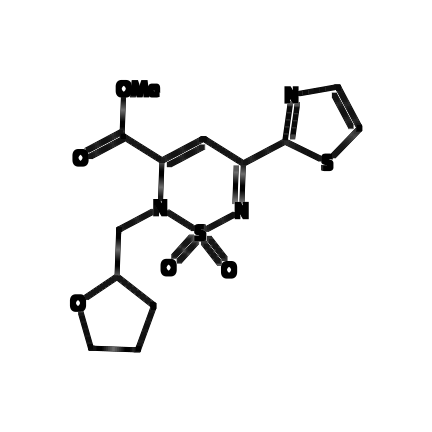 COC(=O)C1=CC(c2nccs2)=NS(=O)(=O)N1CC1CCCO1